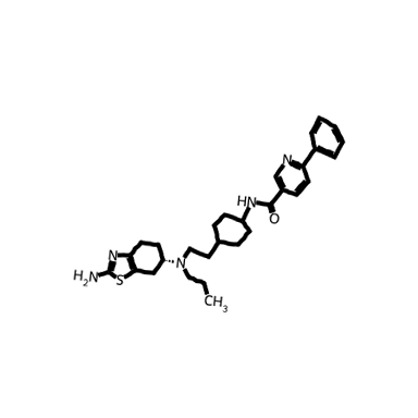 CCCN(CCC1CCC(NC(=O)c2ccc(-c3ccccc3)nc2)CC1)[C@H]1CCc2nc(N)sc2C1